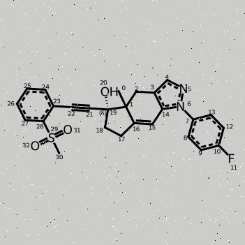 CC12Cc3cnn(-c4ccc(F)cc4)c3C=C1CC[C@@]2(O)C#Cc1ccccc1S(C)(=O)=O